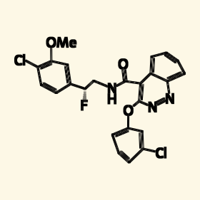 COc1cc([C@@H](F)CNC(=O)c2c(Oc3cccc(Cl)c3)nnc3ccccc23)ccc1Cl